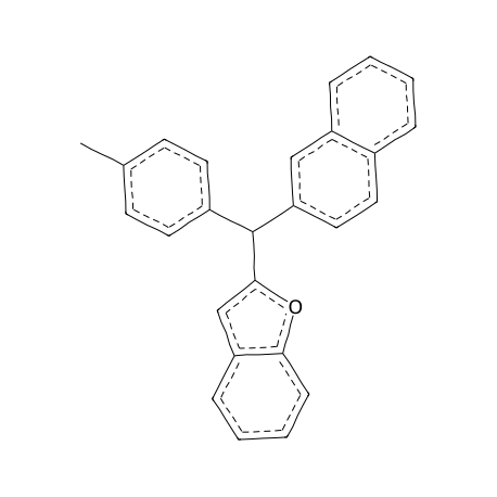 Cc1ccc(C(c2ccc3ccccc3c2)c2cc3ccccc3o2)cc1